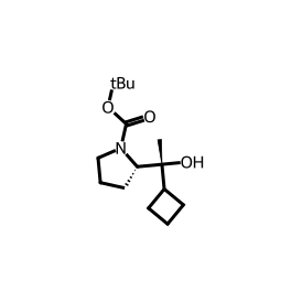 CC(C)(C)OC(=O)N1CCC[C@H]1[C@](C)(O)C1CCC1